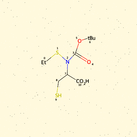 CCSN(C(=O)OC(C)(C)C)C(CS)C(=O)O